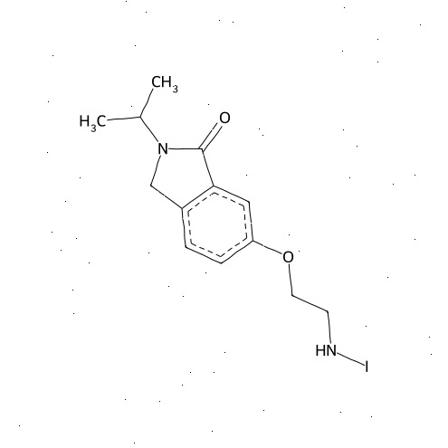 CC(C)N1Cc2ccc(OCCNI)cc2C1=O